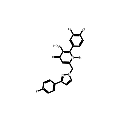 CCn1c(Cn2ccc(-c3ccc(F)cc3)n2)cc(=O)c(C(=O)O)c1-c1ccc(Cl)c(Cl)c1